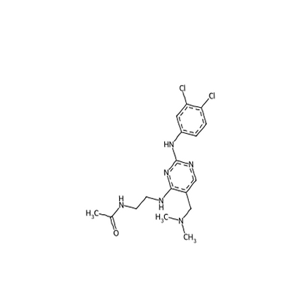 CC(=O)NCCNc1nc(Nc2ccc(Cl)c(Cl)c2)ncc1CN(C)C